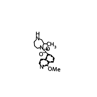 COc1nccc2c(S(=O)(=O)N3CCCNCC3C)cccc12